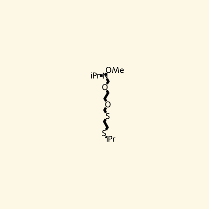 CON(COCCOCSCCSC(C)C)C(C)C